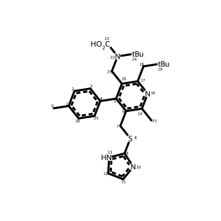 Cc1ccc(-c2c(CSc3ncc[nH]3)c(C)nc(CC(C)(C)C)c2CN(C(=O)O)C(C)(C)C)cc1